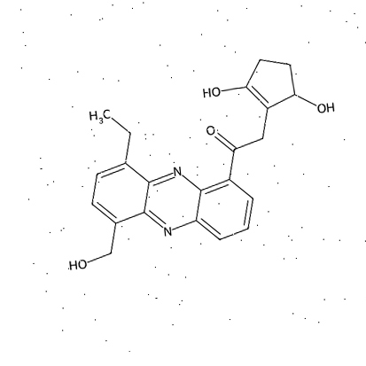 CCc1ccc(CO)c2nc3cccc(C(=O)CC4=C(O)CCC4O)c3nc12